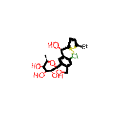 CCc1ccc([C@@H](O)c2cc3c(cc2Cl)CO[C@]32O[C@H](C)[C@@H](O)[C@H](O)[C@H]2O)s1